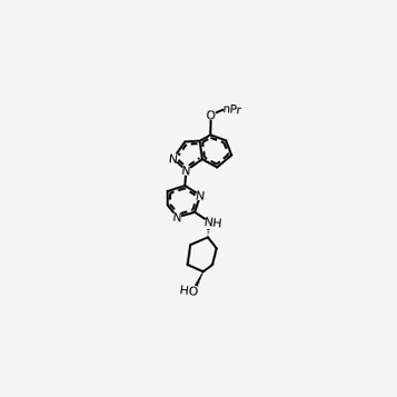 CCCOc1cccc2c1cnn2-c1ccnc(N[C@H]2CC[C@H](O)CC2)n1